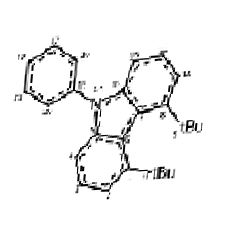 CC(C)(C)c1cccc2c1c1c(C(C)(C)C)cccc1n2-c1ccccc1